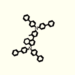 Cc1cc(N(c2ccc(-c3ccccc3)cc2)c2ccc(-c3ccccc3)cc2)ccc1-c1ccc(N(c2ccc(-c3ccccc3)cc2)c2ccc(-c3ccccc3)cc2)c2c1CCCC2